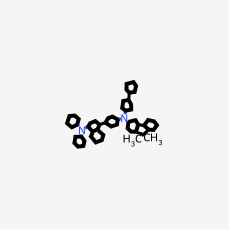 CC1(C)c2ccccc2-c2cc(N(c3ccc(-c4ccccc4)cc3)c3ccc(-c4ccc(N(c5ccccc5)c5ccccc5)c5ccccc45)cc3)ccc21